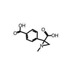 CN1CC1(C(=O)O)c1ccc(C(=O)O)cc1